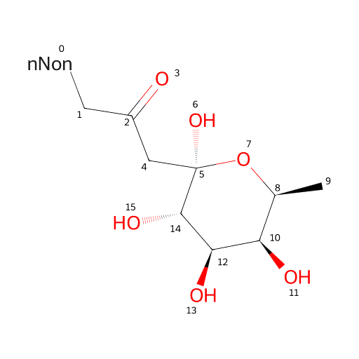 CCCCCCCCCCC(=O)C[C@@]1(O)O[C@@H](C)[C@@H](O)[C@@H](O)[C@@H]1O